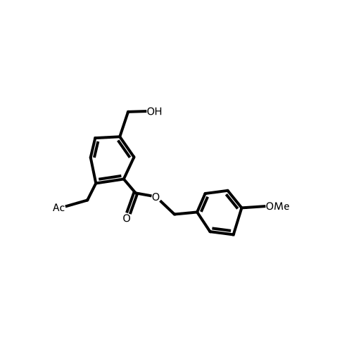 COc1ccc(COC(=O)c2cc(CO)ccc2CC(C)=O)cc1